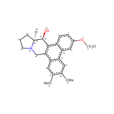 CCOC(=O)Oc1ccc2c3c(c4cc(OC)c(OC)cc4c2c1)CN1CCC[C@H]1[C@H]3O